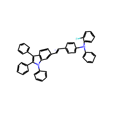 Fc1ccccc1N(c1ccccc1)c1ccc(/C=C/c2ccc3c(-c4ccccc4)c(-c4ccccc4)n(-c4ccccc4)c3c2)cc1